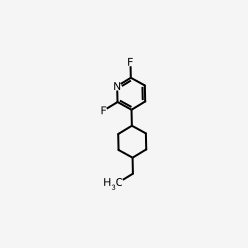 CCC1CCC(c2ccc(F)nc2F)CC1